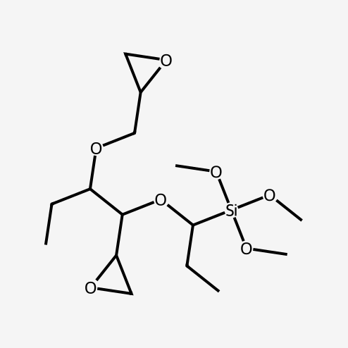 CCC(OCC1CO1)C(OC(CC)[Si](OC)(OC)OC)C1CO1